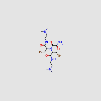 CN(C)CCNC(=O)C(CS)N(C(=O)C(N)=O)C(CS)C(=O)NCCN(C)C